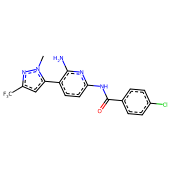 Cn1nc(C(F)(F)F)cc1-c1ccc(NC(=O)c2ccc(Cl)cc2)nc1N